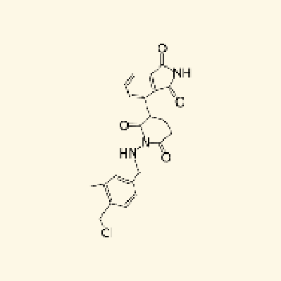 Cc1cc(CNN2C(=O)CCC(c3cccc4c3C(=O)NC4=O)C2=O)ccc1CCl